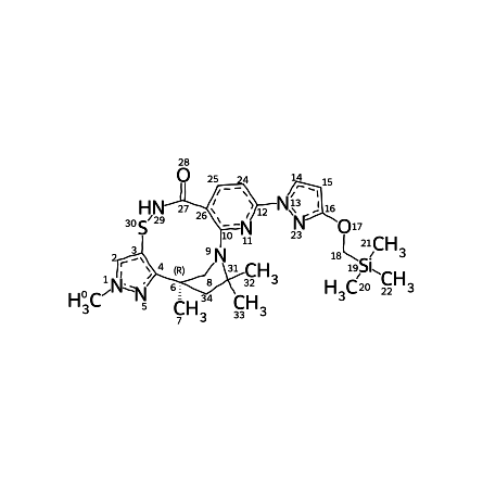 Cn1cc2c(n1)[C@@]1(C)CN(c3nc(-n4ccc(OC[Si](C)(C)C)n4)ccc3C(=O)NS2)C(C)(C)C1